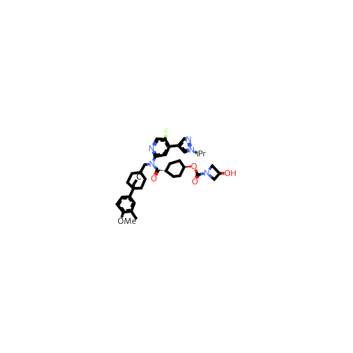 COc1ccc(C23CCC(CN(c4cc(-c5cnn(C(C)C)c5)c(F)cn4)C(=O)[C@H]4CC[C@H](OC(=O)N5CC(O)C5)CC4)(CC2)CC3)cc1C